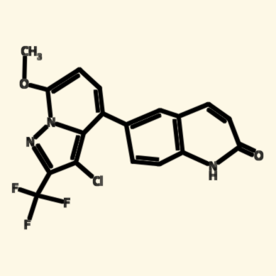 COc1ccc(-c2ccc3[nH]c(=O)ccc3c2)c2c(Cl)c(C(F)(F)F)nn12